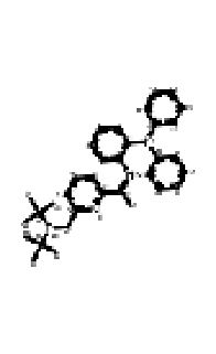 CC(=Nc1ccccc1P(c1ccccc1)c1ccccc1)c1cccc(CP(C(C)(C)C)C(C)(C)C)n1